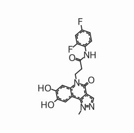 Cn1ncc2c(=O)n(CCC(=O)Nc3ccc(F)cc3F)c3cc(O)c(O)cc3c21